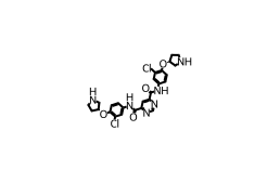 O=C(Nc1ccc(O[C@@H]2CCNC2)c(Cl)c1)c1cc(C(=O)Nc2ccc(O[C@@H]3CCNC3)c(Cl)c2)ncn1